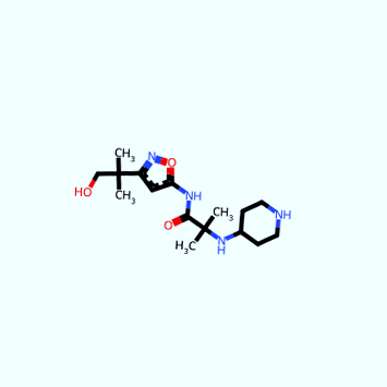 CC(C)(NC1CCNCC1)C(=O)Nc1cc(C(C)(C)CO)no1